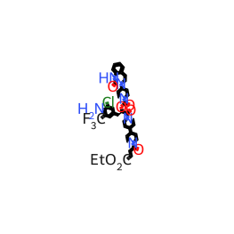 CCOC(=O)CCC(=O)N1CCC(C2CCN(C(=O)[C@@H](Cc3cc(Cl)c(N)c(C(F)(F)F)c3)OC(=O)N3CCC(N4CCc5ccccc5NC4=O)CC3)CC2)CC1